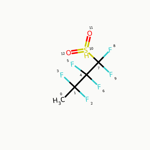 CC(F)(F)C(F)(F)C(F)(F)[SH](=O)=O